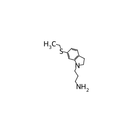 CCSc1ccc2c(c1)N(CCCN)CC2